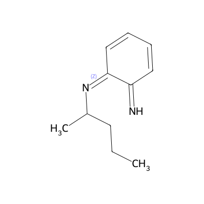 CCCC(C)/N=C1/C=CC=CC1=N